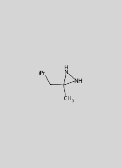 CC(C)CC1(C)NN1